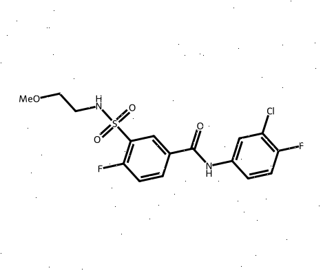 COCCNS(=O)(=O)c1cc(C(=O)Nc2ccc(F)c(Cl)c2)ccc1F